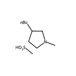 CCCCC1CCN(C)C1.CS(=O)(=O)O